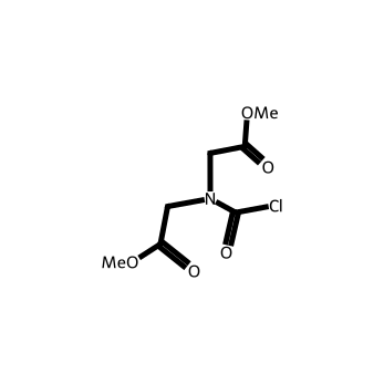 COC(=O)CN(CC(=O)OC)C(=O)Cl